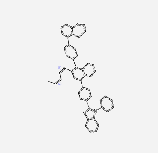 C/C=C\C=C/c1cc(-c2ccc(-c3nc4ccccc4n3-c3ccccc3)cc2)c2ccccc2c1-c1ccc(-c2cccc3ccccc23)cc1